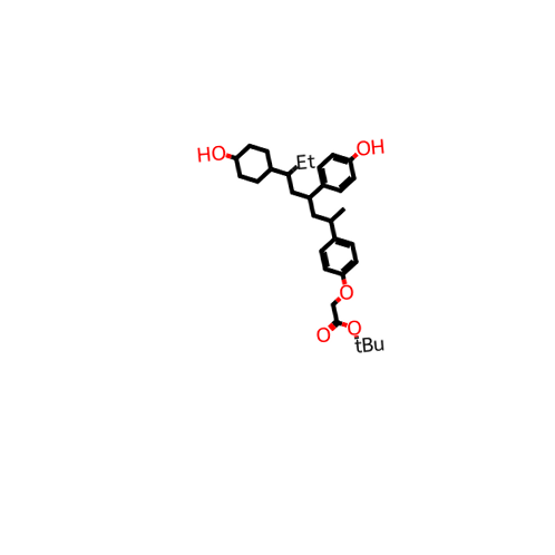 CCC(CC(CC(C)c1ccc(OCC(=O)OC(C)(C)C)cc1)c1ccc(O)cc1)C1CCC(O)CC1